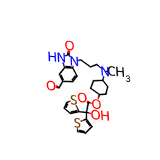 CN(CCCn1c(=O)[nH]c2cc(C=O)ccc21)C1CCC(OC(=O)C(O)(c2cccs2)c2cccs2)CC1